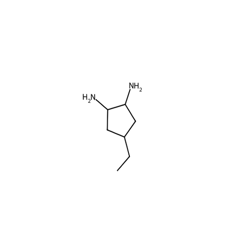 CCC1CC(N)C(N)C1